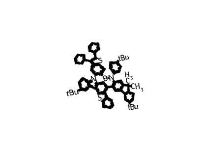 CC(C)(C)c1ccc(N2B3c4cc5sc(-c6ccccc6)c(-c6ccccc6)c5cc4-n4c5ccc(C(C)(C)C)cc5c5c6sc7ccccc7c6c(c3c54)-c3cc4c(cc32)C(C)(C)c2ccc(C(C)(C)C)cc2-4)cc1